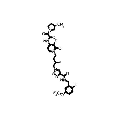 C[C@@H]1CCN(C(=O)C(=O)Nc2ccn(CCC(F)Cn3cc(C(=O)NCc4cc(OC(F)(F)F)ccc4F)nn3)c(=O)c2F)C1